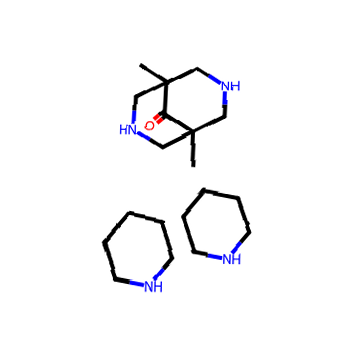 C1CCNCC1.C1CCNCC1.CC12CNCC(C)(CNC1)C2=O